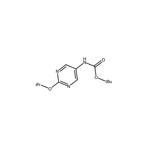 CC(C)Oc1ncc(NC(=O)OC(C)(C)C)cn1